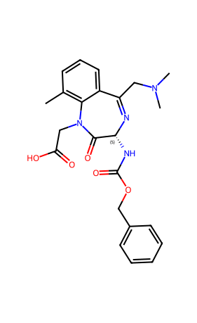 Cc1cccc2c1N(CC(=O)O)C(=O)[C@@H](NC(=O)OCc1ccccc1)N=C2CN(C)C